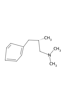 C[C@@H](Cc1ccccc1)CN(C)C